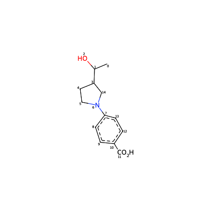 CC(O)C1CCN(c2ccc(C(=O)O)cc2)C1